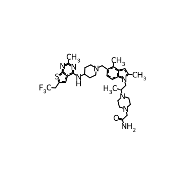 Cc1nc(NC2CCN(Cc3ccc4c(cc(C)n4C[C@H](C)N4CCN(CC(N)=O)CC4)c3C)CC2)c2cc(CC(F)(F)F)sc2n1